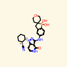 N#C[C@H]1CCCC[C@@H]1n1nc(Nc2ccc3c(c2)CC2(CCOCC2)S3(O)O)c2c(=O)[nH]ccc21